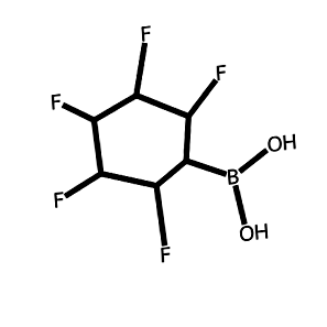 OB(O)C1C(F)C(F)C(F)C(F)C1F